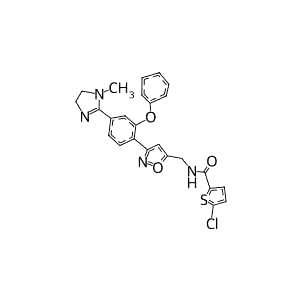 CN1CCN=C1c1ccc(-c2cc(CNC(=O)c3ccc(Cl)s3)on2)c(Oc2ccccc2)c1